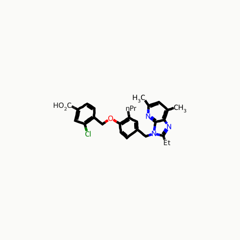 CCCc1cc(Cn2c(CC)nc3c(C)cc(C)nc32)ccc1OCc1ccc(C(=O)O)cc1Cl